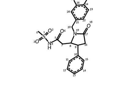 CS(=O)(=O)NC(=O)CC1C(c2ccccc2)CC(=O)N1Cc1ccc(F)c(F)c1